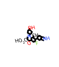 Cc1c(-c2ccc3c(c2)CNC3)c(F)cc2c(=O)c(C(=O)O)cn(-c3ccc(O)cc3)c12